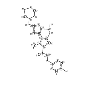 Cc1ncc(CNC(=O)c2oc3c(c2C(F)(F)F)-c2nn(C[C@H]4COCCO4)cc2[C@H](C)C3)cn1